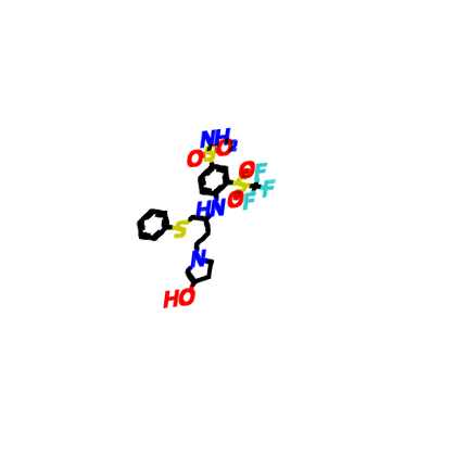 NS(=O)(=O)c1ccc(NC(CCN2CCC(O)C2)CSc2ccccc2)c(S(=O)(=O)C(F)(F)F)c1